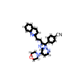 N#Cc1ccc(-c2c(/C=C/c3ccc4ccccc4n3)nc3c(N4CCOCC4)ccnn23)cc1